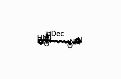 CCCCCCCCCCCC(=O)N[C@@H](C(=O)NCCCCCCCCCCC(=O)NCc1ccncc1)c1ccccc1